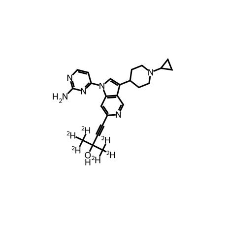 [2H]C([2H])([2H])C(O)(C#Cc1cc2c(cn1)c(C1CCN(C3CC3)CC1)cn2-c1ccnc(N)n1)C([2H])([2H])[2H]